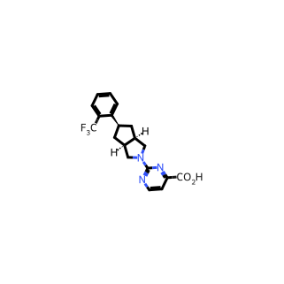 O=C(O)c1ccnc(N2C[C@H]3C[C@@H](c4ccccc4C(F)(F)F)C[C@H]3C2)n1